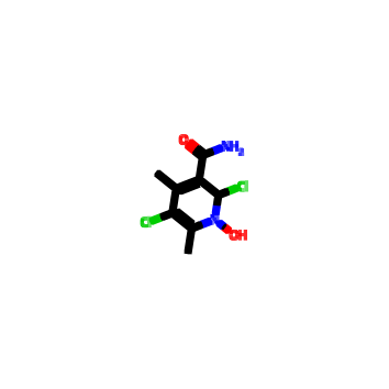 CC1=C(C(N)=O)C(Cl)N(O)C(C)=C1Cl